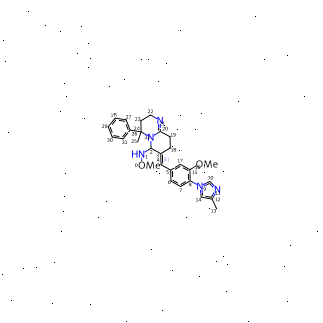 CONC1/C(=C/c2ccc(-n3cnc(C)c3)c(OC)c2)CCC2=NCCC(C)(c3ccccc3)N21